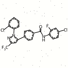 O=C(Nc1ccc(Cl)cc1F)c1ccc(-c2cc(C(F)(F)F)nn2-c2ccccc2Cl)cc1